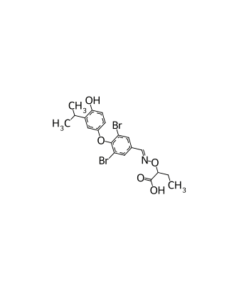 CCC(ON=Cc1cc(Br)c(Oc2ccc(O)c(C(C)C)c2)c(Br)c1)C(=O)O